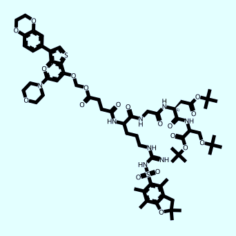 Cc1c(C)c(S(=O)(=O)NC(=N)NCCCC(NC(=O)CCC(=O)OCOc2cc(N3CCOCC3)[o+]c3c(-c4ccc5c(c4)OCCO5)csc23)C(=O)NCC(=O)N[C@@H](CC(=O)OC(C)(C)C)C(=O)NC(COC(C)(C)C)C(=O)OC(C)(C)C)c(C)c2c1OC(C)(C)C2